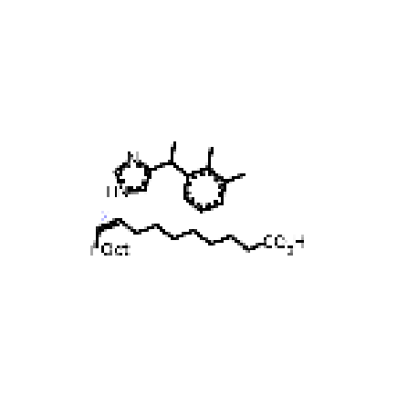 CCCCCCCC/C=C\CCCCCCCC(=O)O.Cc1cccc(C(C)c2c[nH]cn2)c1C